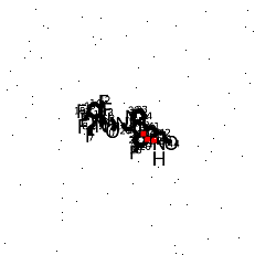 O=C(Cn1nc(C(F)F)c2c1C(F)(F)CCC2(F)F)NCC(c1cc(F)cc(F)c1)c1ncccc1-c1ccc2c(c1)CC(=O)N2